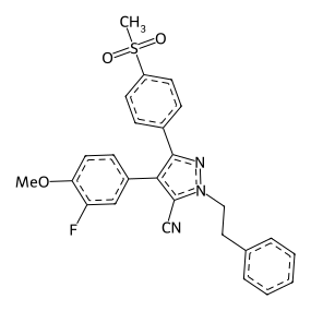 COc1ccc(-c2c(-c3ccc(S(C)(=O)=O)cc3)nn(CCc3ccccc3)c2C#N)cc1F